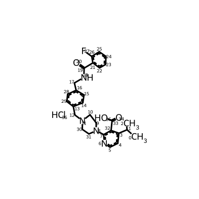 CC(C)c1ccnc(N2CCN(Cc3ccc(CNC(=O)c4ccccc4F)cc3)CC2)c1C(=O)O.Cl